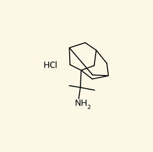 CC(C)(N)C12CC3CC(CC(C3)C1)C2.Cl